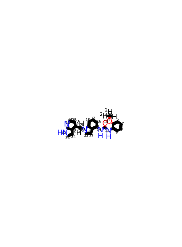 [2H]C([2H])([2H])Oc1ccccc1NC(=O)Nc1cccc2c1ccn2C([2H])([2H])c1ccnc2[nH]ccc12